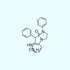 O=C(O)NCC(c1ccccc1)P1(=O)N(c2ccccc2)CCN1c1ccccc1